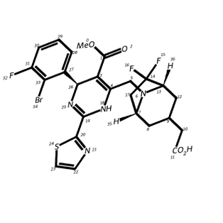 COC(=O)C1=C(CN2[C@@H]3CC(CC(=O)O)C[C@H]2C(F)(F)C3)NC(c2nccs2)=N[C@H]1c1cccc(F)c1Br